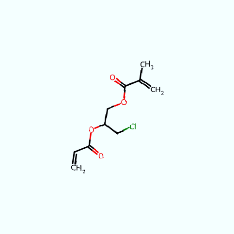 C=CC(=O)OC(CCl)COC(=O)C(=C)C